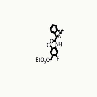 CCOC(=O)Cc1cc(Cl)c(NC(=O)c2nn(C)c3ccccc23)cc1F